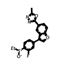 CC[S+]([O-])c1ccc(-c2coc3ccc(-c4nnc(C)o4)cc23)cc1F